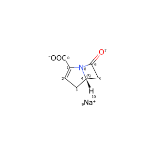 O=C([O-])C1=CC[C@H]2CC(=O)N12.[Na+]